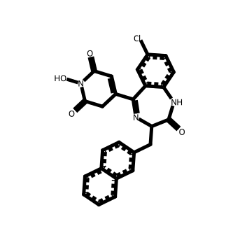 O=C1Nc2ccc(Cl)cc2C(C2=CC(=O)N(O)C(=O)C2)=NC1Cc1ccc2ccccc2c1